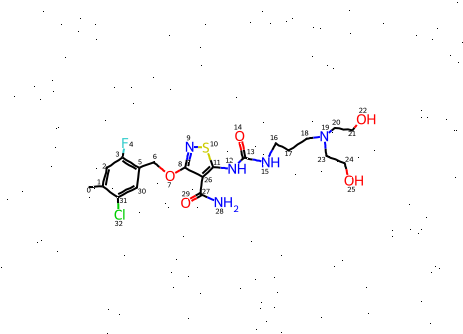 Cc1cc(F)c(COc2nsc(NC(=O)NCCCN(CCO)CCO)c2C(N)=O)cc1Cl